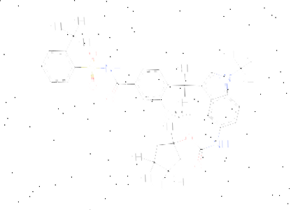 [2H]C1(OC(=O)Nc2ccc3c(c2)c(C([2H])([2H])c2ccc(C(=O)NS(=O)(=O)c4ccccc4C([2H])([2H])[2H])cc2OC)cn3C([2H])([2H])[2H])CC([2H])([2H])C([2H])([2H])C1